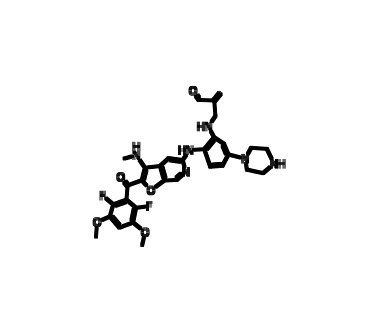 C=C(C=O)CNc1cc(N2CCNCC2)ccc1Nc1cc2c(NC)c(C(=O)c3c(F)c(OC)cc(OC)c3F)oc2cn1